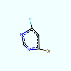 Fc1cc(Br)n[c]n1